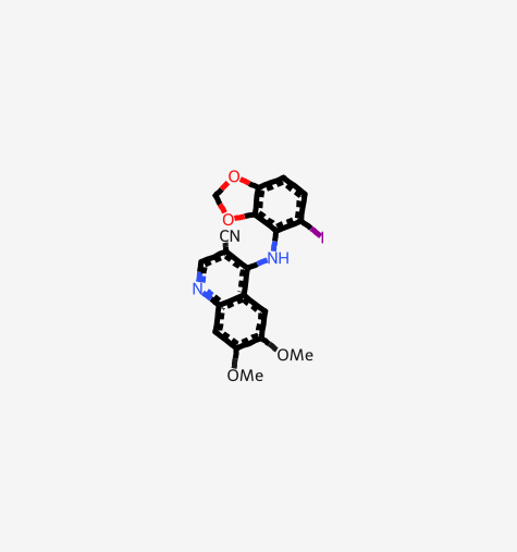 COc1cc2ncc(C#N)c(Nc3c(I)ccc4c3OCO4)c2cc1OC